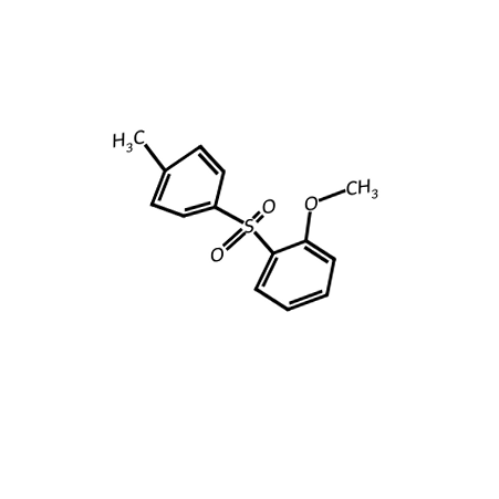 COc1ccccc1S(=O)(=O)c1ccc(C)cc1